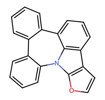 c1ccc2c(c1)-c1ccccc1-n1c3occc3c3cccc-2c31